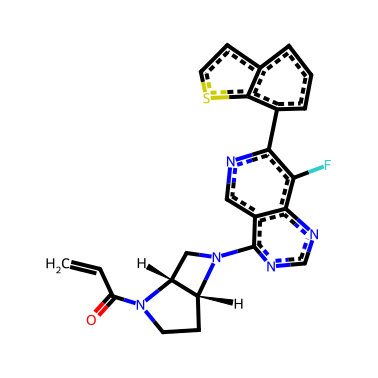 C=CC(=O)N1CC[C@@H]2[C@H]1CN2c1ncnc2c(F)c(-c3cccc4ccsc34)ncc12